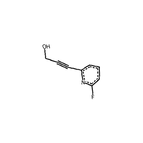 OCC#Cc1cccc(F)n1